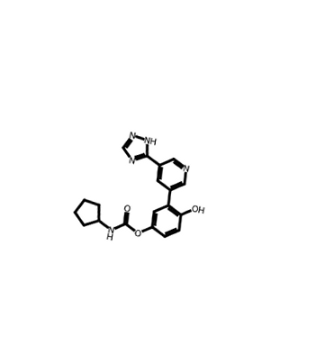 O=C(NC1CCCC1)Oc1ccc(O)c(-c2cncc(-c3ncn[nH]3)c2)c1